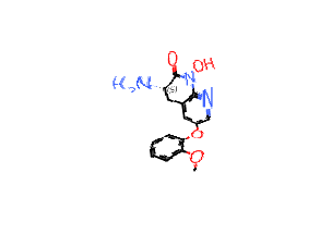 COc1ccccc1Oc1cnc2c(c1)C[C@H](N)C(=O)N2O